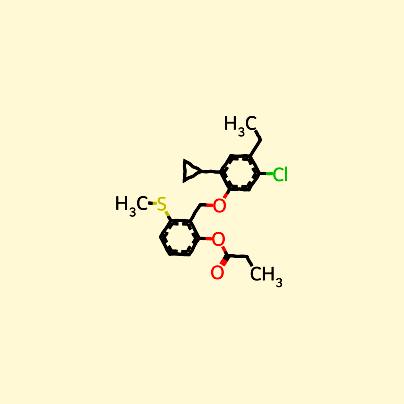 CCC(=O)Oc1cccc(SC)c1COc1cc(Cl)c(CC)cc1C1CC1